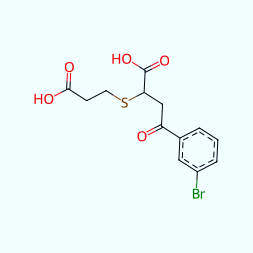 O=C(O)CCSC(CC(=O)c1cccc(Br)c1)C(=O)O